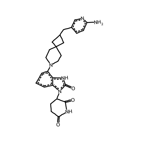 Nc1ccc(CC2CC3(CCN(c4cccc5c4[nH]c(=O)n5C4CCC(=O)NC4=O)CC3)C2)cn1